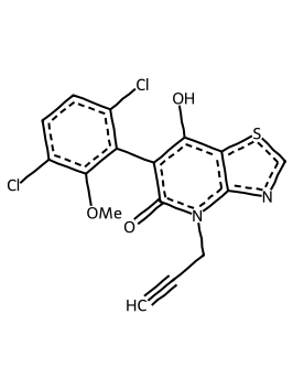 C#CCn1c(=O)c(-c2c(Cl)ccc(Cl)c2OC)c(O)c2scnc21